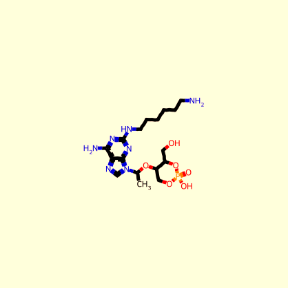 CC(OC1COP(=O)(O)OC1CO)n1cnc2c(N)nc(NCCCCCCN)nc21